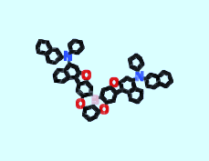 c1ccc(N(c2ccc3ccccc3c2)c2cc3oc4cc5c(cc4c3c3ccccc23)Oc2cccc3c2B5c2cc4oc5cc(N(c6ccccc6)c6ccc7ccccc7c6)c6ccccc6c5c4cc2O3)cc1